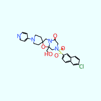 O=C1CN(S(=O)(=O)c2ccc3cc(Cl)ccc3c2)CC2(CO)OC3(CCN(c4ccncc4)CC3)CN12